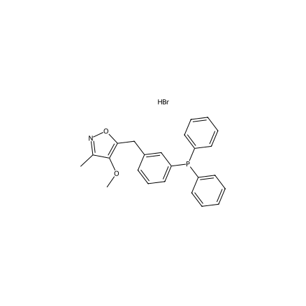 Br.COc1c(C)noc1Cc1cccc(P(c2ccccc2)c2ccccc2)c1